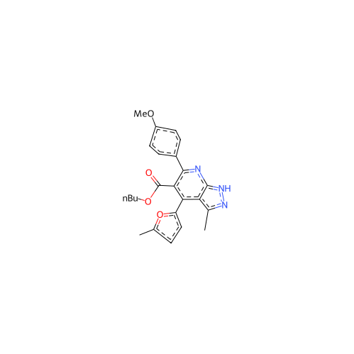 CCCCOC(=O)c1c(-c2ccc(OC)cc2)nc2[nH]nc(C)c2c1-c1ccc(C)o1